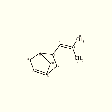 CC(C)=CC1CC2=CCC1C2